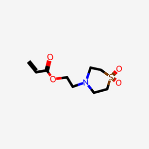 C=CC(=O)OCCN1CCS(=O)(=O)CC1